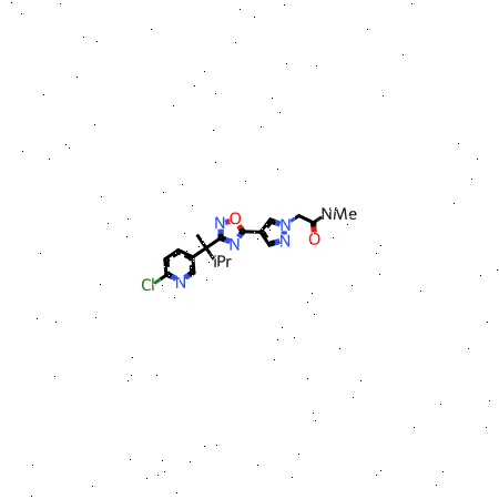 CNC(=O)Cn1cc(-c2nc(C(C)(c3ccc(Cl)nc3)C(C)C)no2)cn1